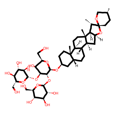 C[C@@H]1CC[C@@]2(OC1)O[C@H]1C[C@H]3[C@@H]4CC[C@@H]5C[C@@H](O[C@@H]6O[C@H](CO)[C@H](O)[C@H](O[C@@H]7O[C@H](CO)[C@@H](O)[C@H](O)[C@H]7O)[C@H]6O[C@@H]6O[C@H](CO)[C@@H](O)[C@H](O)[C@H]6O)CC[C@]5(C)[C@H]4CC[C@]3(C)[C@H]1[C@@H]2C